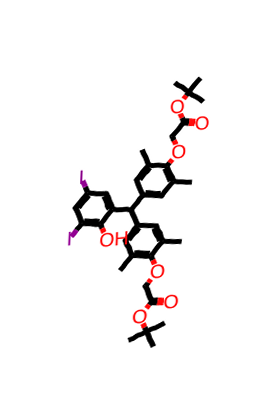 Cc1cc(C(c2cc(C)c(OCC(=O)OC(C)(C)C)c(C)c2)c2cc(I)cc(I)c2O)cc(C)c1OCC(=O)OC(C)(C)C